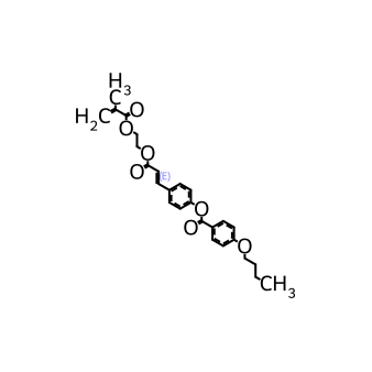 C=C(C)C(=O)OCCOC(=O)/C=C/c1ccc(OC(=O)c2ccc(OCCCC)cc2)cc1